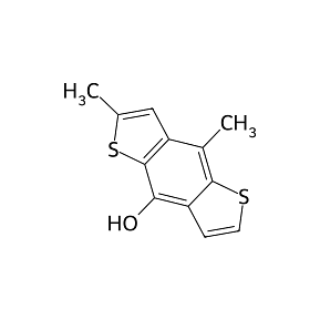 Cc1cc2c(C)c3sccc3c(O)c2s1